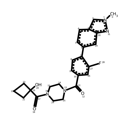 Cn1cc2ccc(-c3ccc(C(=O)N4CCN(C(=O)C5(O)CCC5)CC4)cc3F)cc2n1